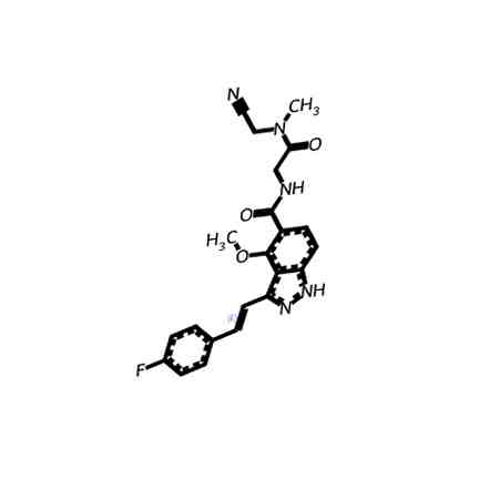 COc1c(C(=O)NCC(=O)N(C)CC#N)ccc2[nH]nc(/C=C/c3ccc(F)cc3)c12